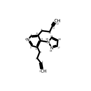 C#CCCc1[c]ncc(CCC#C)c1-n1cccn1